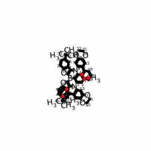 Cc1cc2c3c(c1)N(c1cc4c(cc1-c1ccccc1)OCCO4)c1c(oc4ccc(C(C)(C)C)cc14)B3c1oc3ccc(C(C)(C)C)cc3c1N2c1cc2c(cc1-c1ccccc1)OCCO2